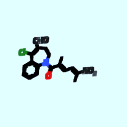 C/C(=C\C=C(/C)[N+](=O)[O-])C(=O)N1CCC(C=O)=C(Cl)c2ccccc21